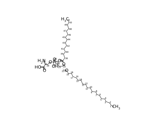 CCCCCCCCCCCCCCCCCCCCOC[C@H](COP(=O)(O)OC[C@H](N)C(=O)O)OC(=O)CCCCCCCCCCCCCC